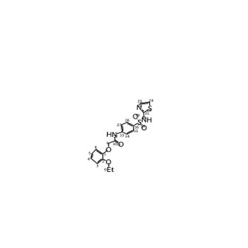 CCOc1ccccc1OCC(=O)Nc1ccc(S(=O)(=O)Nc2nccs2)cc1